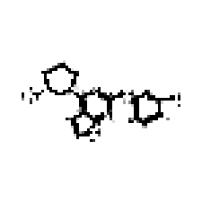 N[C@@H]1CCCN(c2nc(Nc3cccc(Cl)c3)nc3[nH]ccc23)C1